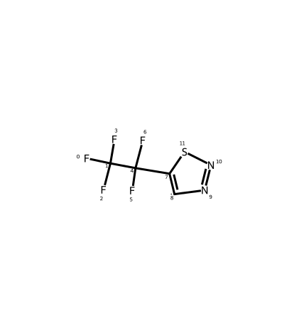 FC(F)(F)C(F)(F)c1[c]nns1